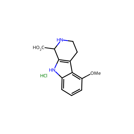 COc1cccc2[nH]c3c(c12)CCNC3C(=O)O.Cl